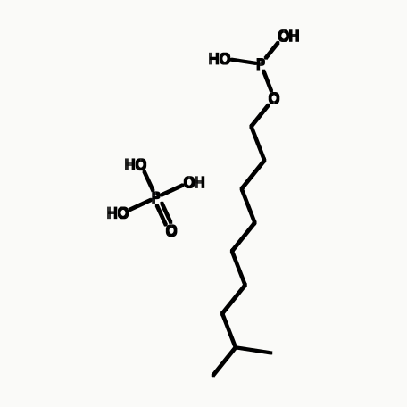 CC(C)CCCCCCCOP(O)O.O=P(O)(O)O